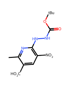 Cc1nc(NNC(=O)OC(C)(C)C)c([N+](=O)[O-])cc1C(=O)O